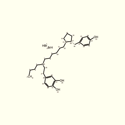 Br.Br.CCCCN(CCCCCCN1CCC[C@@H]1Cc1ccc(O)cc1)CCc1ccc(O)c(O)c1